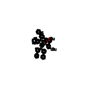 CC(C)(C)c1ccc(N2c3cc(N(c4cccc(-c5ccccc5)c4)c4cccc(-c5ccccc5)c4)ccc3B3c4c(cc(C(C)(C)C)cc42)-c2cc4sc5ccccc5c4cc2N3c2ccc3c(c2)C(C)(C)CCC3(C)C)c(-c2ccccc2)c1